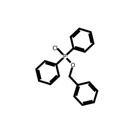 Cl[P](OCc1ccccc1)(c1ccccc1)c1ccccc1